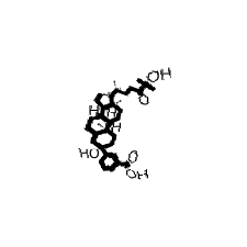 C[C@H](CCC(=O)C(C)(C)O)[C@H]1CC[C@H]2[C@@H]3CCC4CC(O)(c5cccc(C(=O)O)c5)CC[C@]4(C)[C@H]3CC[C@]12C